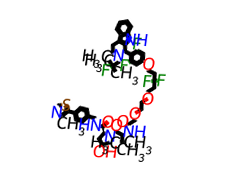 Cc1ncsc1-c1ccc(CNC(=O)[C@@H]2C[C@@H](O)CN2C(=O)[C@@H](NC(=O)COCCOCCC(F)(F)CCOc2cc(F)c(C3c4[nH]c5ccccc5c4C[C@@H](C)N3CC(C)(C)F)c(F)c2)C(C)(C)C)cc1